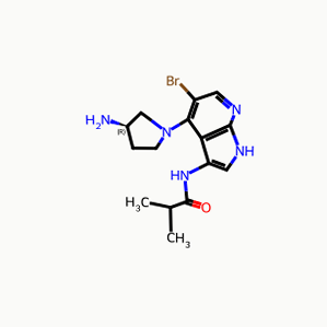 CC(C)C(=O)Nc1c[nH]c2ncc(Br)c(N3CC[C@@H](N)C3)c12